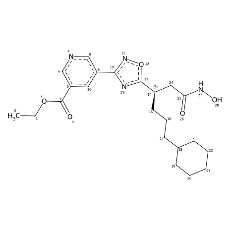 CCOC(=O)c1cncc(-c2noc([C@H](CCCC3CCCCC3)CC(=O)NO)n2)c1